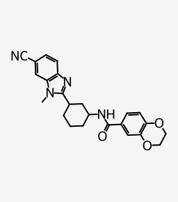 Cn1c(C2CCCC(NC(=O)c3ccc4c(c3)OCCO4)C2)nc2ccc(C#N)cc21